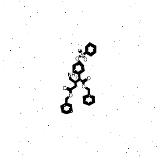 NCC(CC(=O)OCc1ccccc1)C(C(=O)OCc1ccccc1)c1ccc(OS(=O)(=O)c2ccccc2)cc1